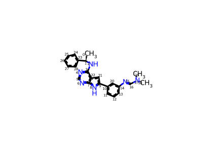 C[C@@H](Nc1ncnc2[nH]c(-c3cccc(/N=C/N(C)C)c3)cc12)c1ccccc1